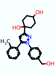 Cc1ccccc1-c1cc(C2(O)CCC(O)CC2)nn1-c1ccc(CO)cc1